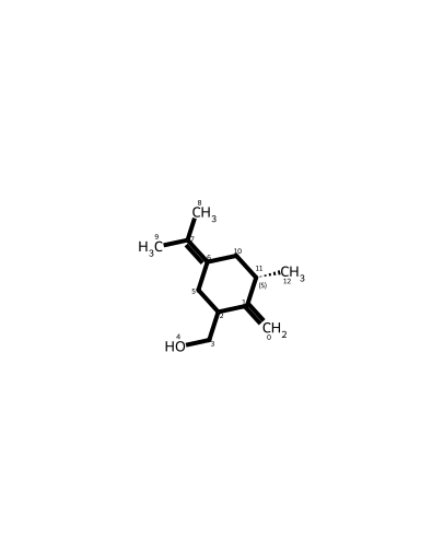 C=C1C(CO)CC(=C(C)C)C[C@@H]1C